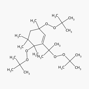 CC(C)(C)OOC1(C)C=C(C(C)(C)OOC(C)(C)C)C(C)(OOC(C)(C)C)C(C)(C)C1